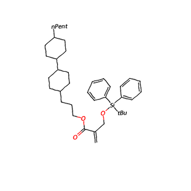 C=C(CO[Si](c1ccccc1)(c1ccccc1)C(C)(C)C)C(=O)OCCCC1CCC(C2CCC(CCCCC)CC2)CC1